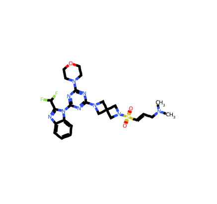 CN(C)CC=CS(=O)(=O)N1CC2(CN(c3nc(N4CCOCC4)nc(-n4c(C(F)F)nc5ccccc54)n3)C2)C1